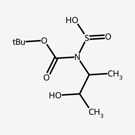 CC(O)C(C)N(C(=O)OC(C)(C)C)S(=O)O